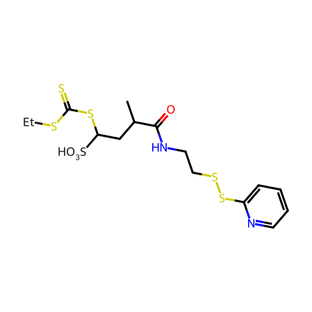 CCSC(=S)SC(CC(C)C(=O)NCCSSc1ccccn1)S(=O)(=O)O